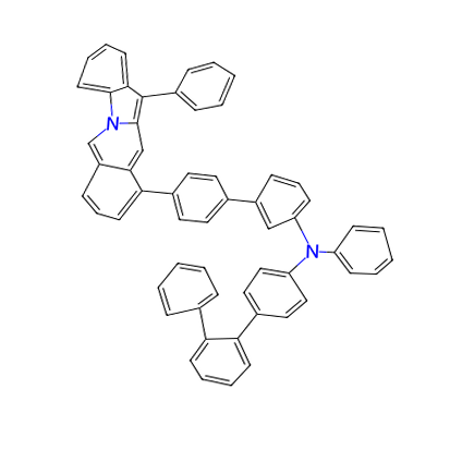 c1ccc(-c2ccccc2-c2ccc(N(c3ccccc3)c3cccc(-c4ccc(-c5cccc6cn7c(cc56)c(-c5ccccc5)c5ccccc57)cc4)c3)cc2)cc1